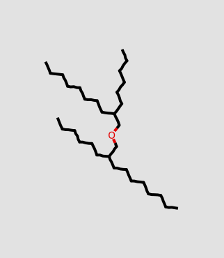 CCCCCCCCC(CCCCCC)COCC(CCCCCC)CCCCCCCC